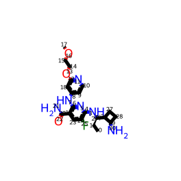 CC[C@@H](Nc1nc(Nc2ccnc(OCCOC)c2)c(C(N)=O)cc1F)C1CCC1N